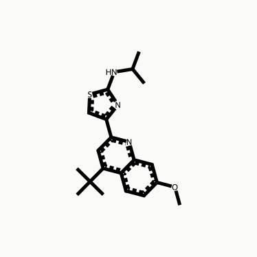 COc1ccc2c(C(C)(C)C)cc(-c3csc(NC(C)C)n3)nc2c1